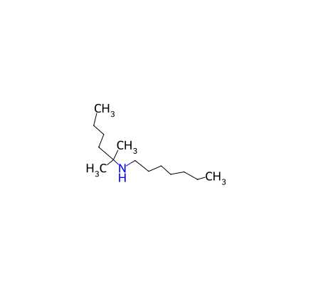 CCCCCCCNC(C)(C)CCCC